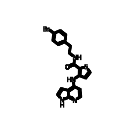 O=C(NCCc1ccc(Br)cc1)c1sccc1Nc1ccnc2[nH]ccc12